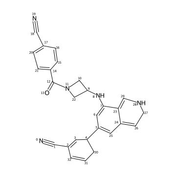 N#CC1=CC(c2cc(NC3CN(C(=O)c4ccc(C#N)cc4)C3)c3c(c2)=CCNC=3)CC=C1